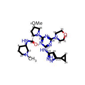 CO[C@H]1C[C@@H](C(=O)NC2CCCN(C)C2)N(c2nc(Nc3cc(C4CC4)[nH]n3)nc(N3CCOCC3)n2)C1